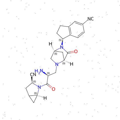 [C-]#[N+]c1ccc2c(c1)CC[C@@H]2N1C(=O)[C@@H]2C[C@H]1CN2C[C@H](N)C(=O)N1[C@H](C#N)CC2C[C@@H]21